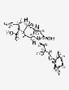 CC(C)C(C(=O)O)[C@H]1CC[C@@H]2[C@@H](/C=C/[C@@H](O)COc3cc(F)ccc3F)[C@H](O)C[C@@H]2OC1